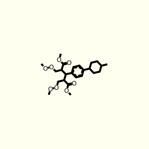 COOCC(C(=O)OC)C(c1ccc(C2CCC(C)CC2)cc1)C(COOC)C(=O)OC